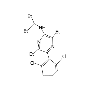 CCc1nc(-c2c(Cl)cccc2Cl)c(CC)nc1NC(CC)CC